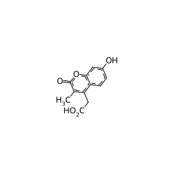 Cc1c(CC(=O)O)c2ccc(O)cc2oc1=O